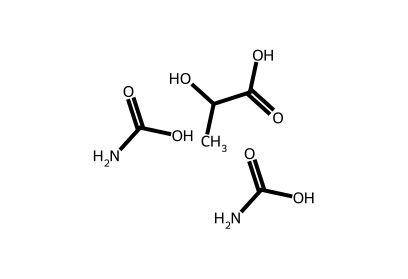 CC(O)C(=O)O.NC(=O)O.NC(=O)O